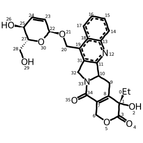 CC[C@@]1(O)C(=O)OCC2=C1CC1c3nc4ccccc4c(CO[C@@H]4C=C[C@H](O)[C@@H](CO)O4)c3CN1C2=O